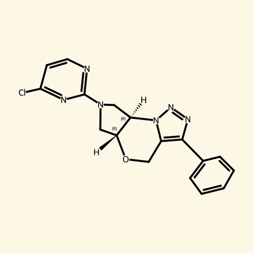 Clc1ccnc(N2C[C@@H]3[C@@H](C2)OCc2c(-c4ccccc4)nnn23)n1